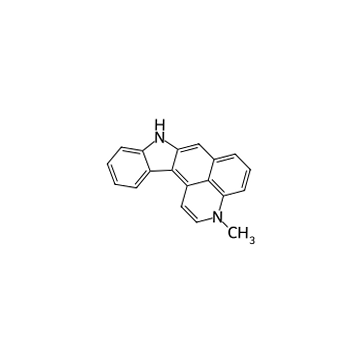 CN1C=Cc2c3c1cccc3cc1[nH]c3ccccc3c21